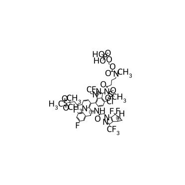 CN(CCCC(=O)N(c1nn(CC(F)(F)F)c2c(-c3ccc(CCC(C)(C)S(C)(=O)=O)nc3[C@H](Cc3cc(F)cc(F)c3)NC(=O)Cn3nc(C(F)(F)F)c4c3C(F)(F)[C@@H]3CC43)ccc(Cl)c12)S(C)(=O)=O)C(=O)OCOP(=O)(O)O